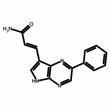 NC(=O)C=Cc1c[nH]c2ncc(-c3ccccc3)nc12